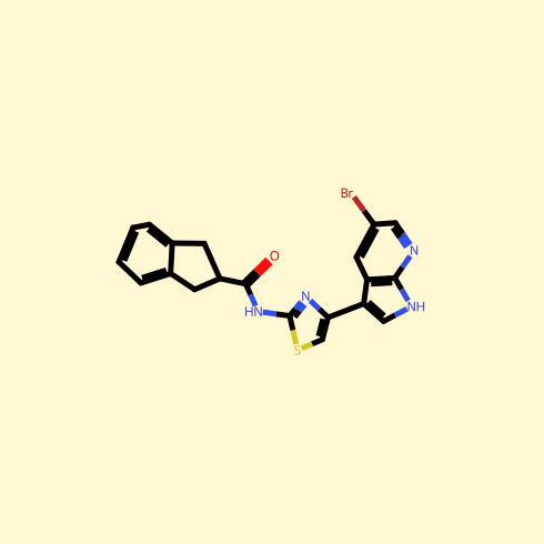 O=C(Nc1nc(-c2c[nH]c3ncc(Br)cc23)cs1)C1Cc2ccccc2C1